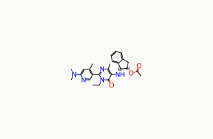 CCn1c(-c2cnc(N(C)C)cc2C)nc(C)c(N[C@@H]2c3ccccc3C[C@@H]2OC(C)=O)c1=O